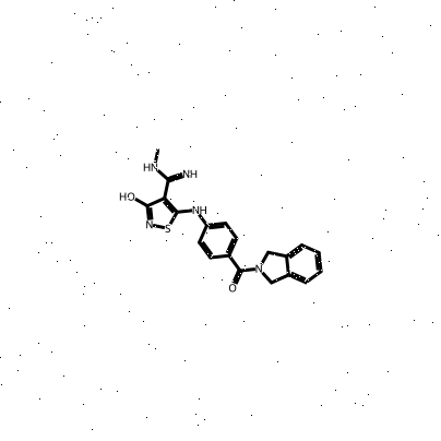 CNC(=N)c1c(O)nsc1Nc1ccc(C(=O)N2Cc3ccccc3C2)cc1